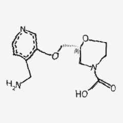 NCc1ccncc1OC[C@H]1CN(C(=O)O)CCO1